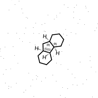 C1CC[C@@H]2[C@H](C1)C[C@@H]1CCCC[C@@H]12